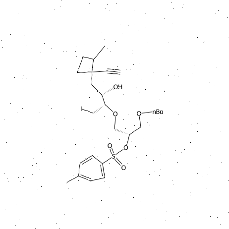 C#CC1(C[C@H](O)[C@@H](CI)OC[C@H](COCCCC)OS(=O)(=O)c2ccc(C)cc2)CCC1C